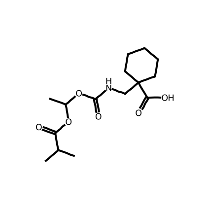 CC(OC(=O)NCC1(C(=O)O)CCCCC1)OC(=O)C(C)C